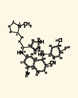 CN1CCCC1CCC(Nc1cc(Br)c2ncc(C#N)c(Nc3ccc(F)c(Cl)c3)c2c1)c1c[nH]nn1